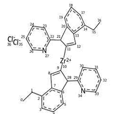 CCc1cccc2c1C=[C]([Zr+2][C]1=Cc3c(CC)cccc3C1c1ccccn1)C2c1ccccn1.[Cl-].[Cl-]